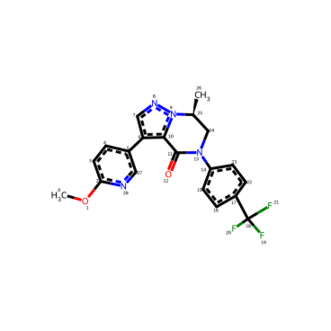 COc1ccc(-c2cnn3c2C(=O)N(c2ccc(C(F)(F)F)cc2)C[C@@H]3C)cn1